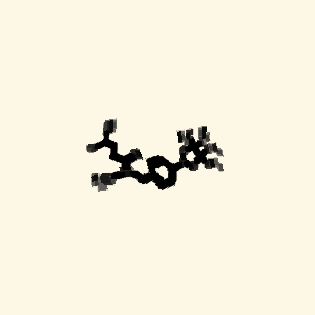 CN(Cc1ccc(B2OC(C)(C)C(C)(C)O2)cc1)C(=O)CCC(=O)O